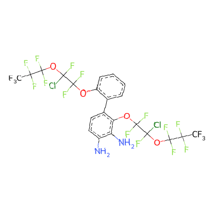 Nc1ccc(-c2ccccc2OC(F)(F)C(F)(Cl)OC(F)(F)C(F)(F)C(F)(F)F)c(OC(F)(F)C(F)(Cl)OC(F)(F)C(F)(F)C(F)(F)F)c1N